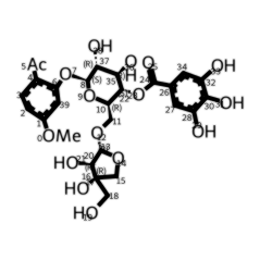 COc1ccc(C(C)=O)c(O[C@@H]2O[C@H](CO[C@@H]3OC[C@](O)(CO)[C@H]3O)[C@@H](OC(=O)c3cc(O)c(O)c(O)c3)[C@H](O)[C@H]2O)c1